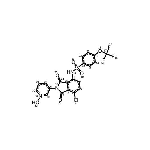 O=C1c2c(Cl)ccc(NS(=O)(=O)c3ccc(OC(F)(F)F)cc3)c2C(=O)N1c1ccc[n+](O)c1